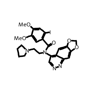 COc1cc(I)c(C(=O)N(CCN2CCCC2)c2cnnc3cc4c(cc23)OCO4)cc1OC